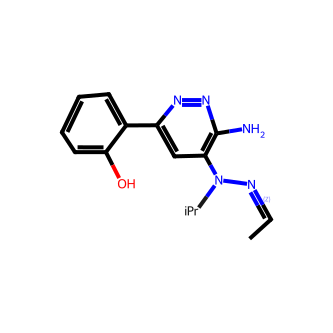 C/C=N\N(c1cc(-c2ccccc2O)nnc1N)C(C)C